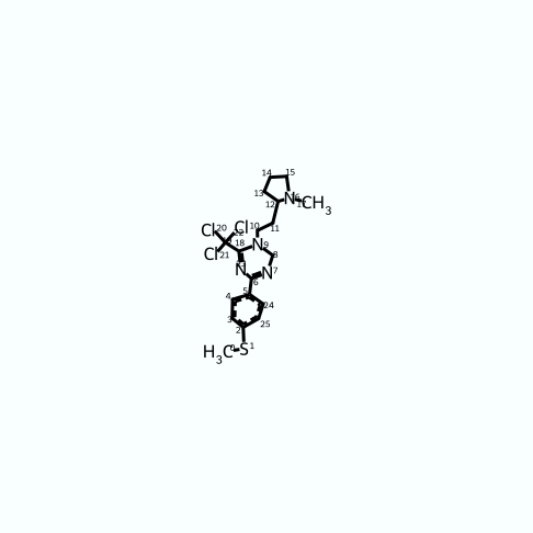 CSc1ccc(C2=NCN(CCC3CCCN3C)C(C(Cl)(Cl)Cl)=N2)cc1